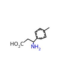 Cc1ccc([C@@H](N)CC(=O)O)cc1